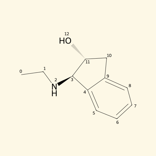 CCN[C@@H]1c2ccccc2C[C@H]1O